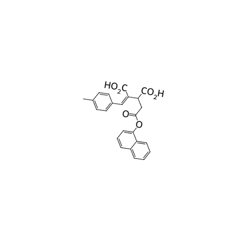 Cc1ccc(C=C(C(=O)O)C(CC(=O)Oc2cccc3ccccc23)C(=O)O)cc1